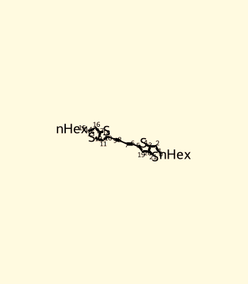 CCCCCCc1cc2sc(C#CC#Cc3cc4sc(CCCCCC)cc4s3)cc2s1